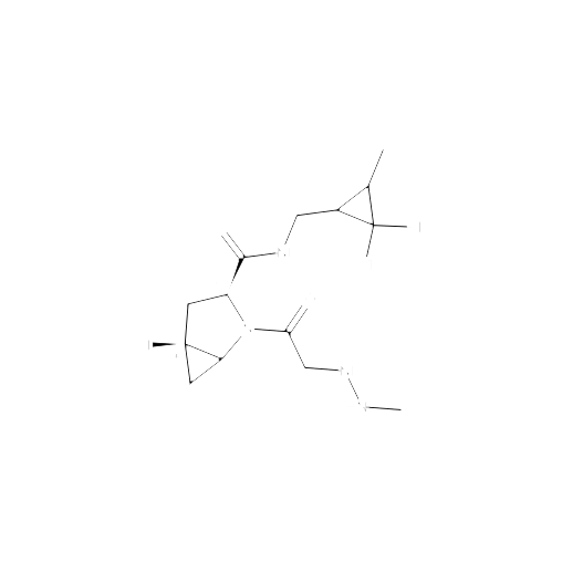 CNNCC(=O)N1C2C[C@@H]2C[C@H]1C(=O)NCC1C(C)C1(Cl)Cl